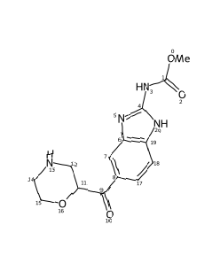 COC(=O)Nc1nc2cc(C(=O)C3CNCCO3)ccc2[nH]1